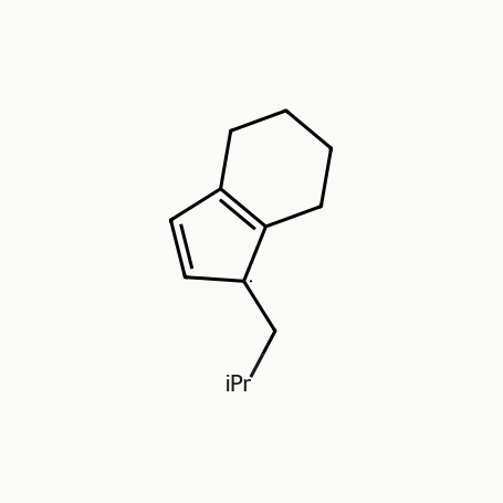 CC(C)C[C]1C=CC2=C1CCCC2